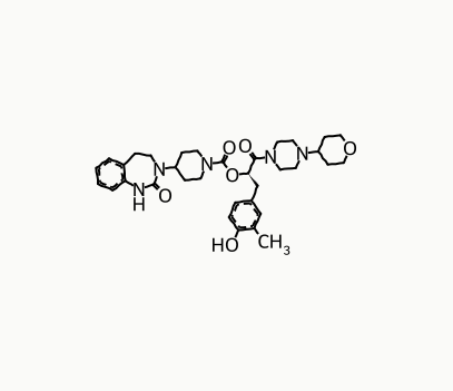 Cc1cc(C[C@@H](OC(=O)N2CCC(N3CCc4ccccc4NC3=O)CC2)C(=O)N2CCN(C3CCOCC3)CC2)ccc1O